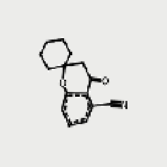 N#Cc1cccc2c1C(=O)CC1(CCCCC1)O2